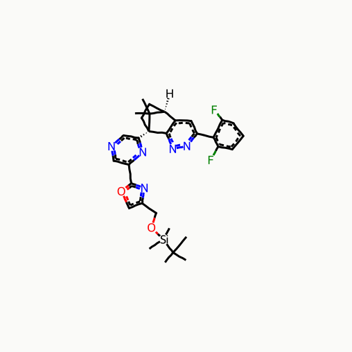 CC1(C)[C@H]2CC[C@]1(c1cncc(-c3nc(CO[Si](C)(C)C(C)(C)C)co3)n1)c1nnc(-c3c(F)cccc3F)cc12